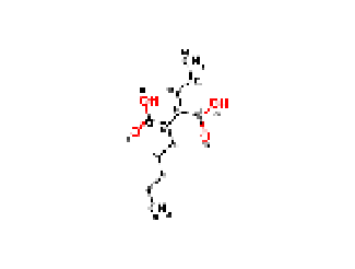 CCCCCC(C(=O)O)C(CCC)C(=O)O